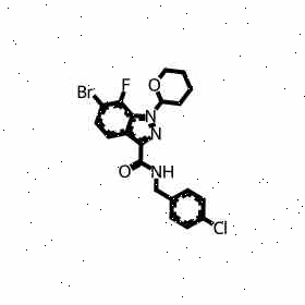 O=C(NCc1ccc(Cl)cc1)c1nn(C2CCCCO2)c2c(F)c(Br)ccc12